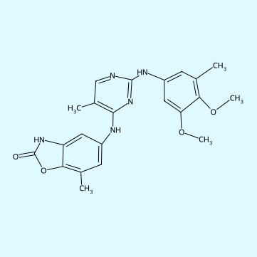 COc1cc(Nc2ncc(C)c(Nc3cc(C)c4oc(=O)[nH]c4c3)n2)cc(C)c1OC